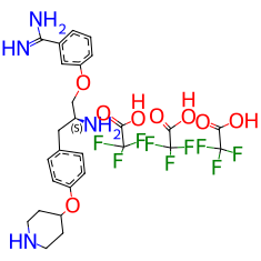 N=C(N)c1cccc(OC[C@@H](N)Cc2ccc(OC3CCNCC3)cc2)c1.O=C(O)C(F)(F)F.O=C(O)C(F)(F)F.O=C(O)C(F)(F)F